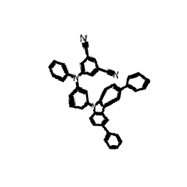 N#Cc1cc(C#N)cc(N(c2ccccc2)c2cccc(-n3c4ccc(-c5ccccc5)cc4c4cc(-c5ccccc5)ccc43)c2)c1